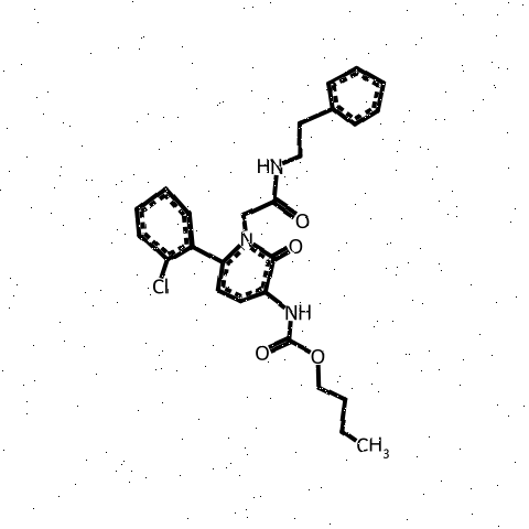 CCCCOC(=O)Nc1ccc(-c2ccccc2Cl)n(CC(=O)NCCc2ccccc2)c1=O